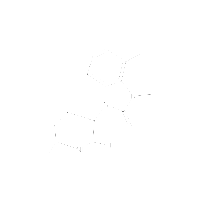 [2H]C1CCC(n2c(=O)n(C)c3c(Br)cccc32)C([2H])N1